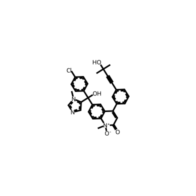 Cn1cncc1C(O)(c1ccc(Cl)cc1)c1ccc2c(c1)C(c1cccc(C#CC(C)(C)O)c1)=CC(=O)[N+]2(C)[O-]